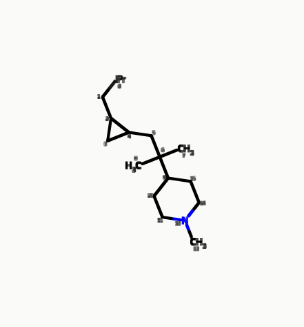 CC(C)CC1CC1CC(C)(C)C1CCN(C)CC1